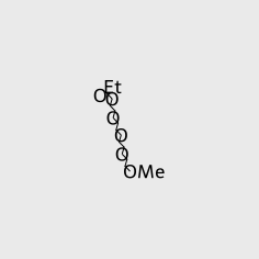 CCC(=O)OCCOCCOCCOCCOC